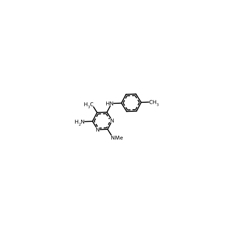 CNc1nc(N)c(C)c(Nc2ccc(C)cc2)n1